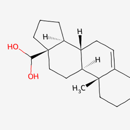 C[C@]12CCCCC1=CC[C@H]1[C@@H]3CCC[C@@]3(C(O)O)CC[C@@H]12